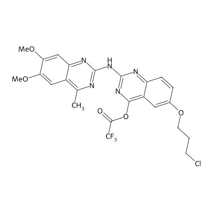 COc1cc2nc(Nc3nc(OC(=O)C(F)(F)F)c4cc(OCCCCl)ccc4n3)nc(C)c2cc1OC